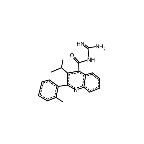 Cc1ccccc1-c1nc2ccccc2c(C(=O)NC(=N)N)c1C(C)C